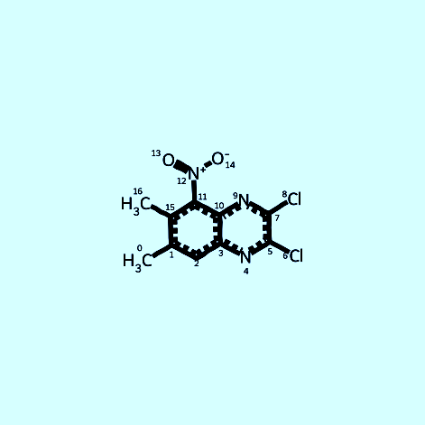 Cc1cc2nc(Cl)c(Cl)nc2c([N+](=O)[O-])c1C